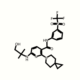 CC(C)(CO)Nc1ccc(C(=O)Nc2cccc(S(=O)(=O)C(F)(F)F)c2)c(N2CCC3(CC2)CC3)n1